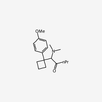 CCCC(=O)C(N(C)C)C1(c2ccc(OC)cc2)CCC1